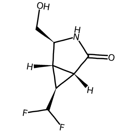 O=C1N[C@H](CO)[C@@H]2[C@H]1[C@H]2C(F)F